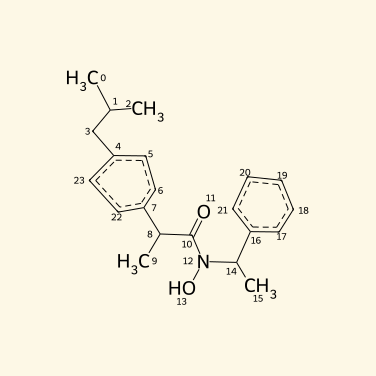 CC(C)Cc1ccc(C(C)C(=O)N(O)C(C)c2ccccc2)cc1